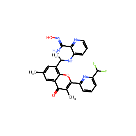 Cc1cc([C@@H](C)Nc2cccnc2/C(N)=N/O)c2oc(-c3cccc(C(F)F)n3)c(C)c(=O)c2c1